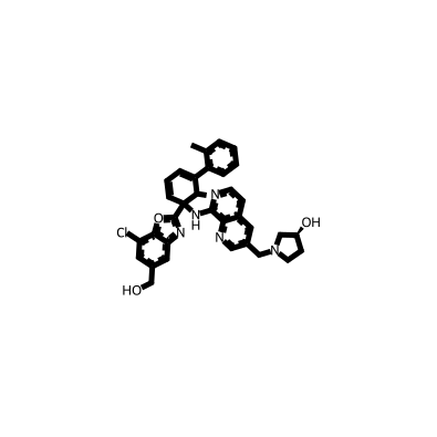 Cc1ccccc1C1=CC=CC(Nc2nccc3cc(CN4CC[C@H](O)C4)cnc23)(c2nc3cc(CO)cc(Cl)c3o2)C1C